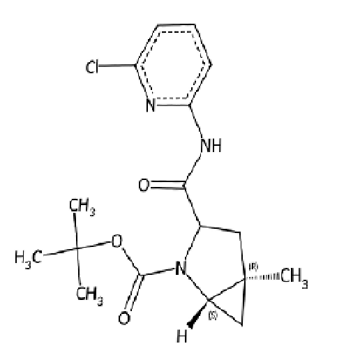 CC(C)(C)OC(=O)N1C(C(=O)Nc2cccc(Cl)n2)C[C@@]2(C)C[C@H]12